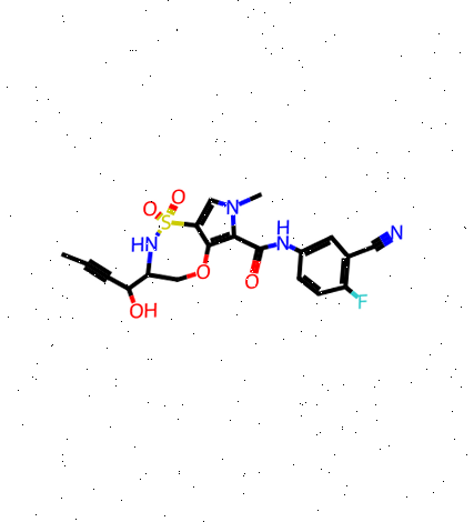 CC#CC(O)C1COc2c(cn(C)c2C(=O)Nc2ccc(F)c(C#N)c2)S(=O)(=O)N1